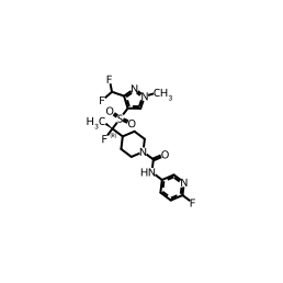 Cn1cc(S(=O)(=O)[C@@](C)(F)C2CCN(C(=O)Nc3ccc(F)nc3)CC2)c(C(F)F)n1